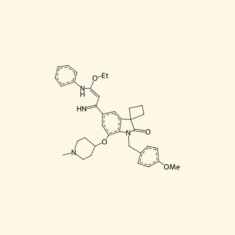 CCO/C(=C/C(=N)c1cc(OC2CCN(C)CC2)c2c(c1)C1(CCC1)C(=O)N2Cc1ccc(OC)cc1)Nc1ccccc1